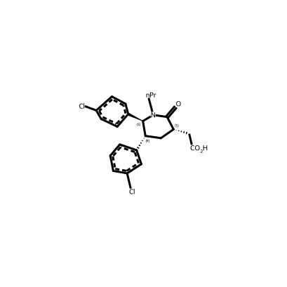 CCCN1C(=O)[C@H](CC(=O)O)C[C@H](c2cccc(Cl)c2)[C@H]1c1ccc(Cl)cc1